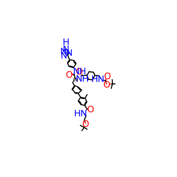 Cc1cc(C(=O)NCCOC(C)(C)C)ccc1-c1ccc(C[C@H](NC(=O)C2CCC(CNC(=O)OC(C)(C)C)CC2)C(=O)Nc2ccc(-c3nn[nH]n3)cc2)cc1